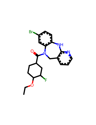 CCOC1CCC(C(=O)N2Cc3cccnc3Nc3ccc(Br)cc32)CC1F